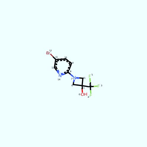 OC1(C(F)(F)F)CN(c2ccc(Br)cn2)C1